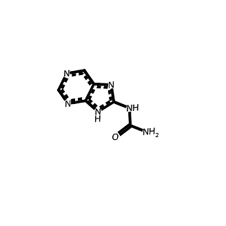 NC(=O)Nc1nc2cncnc2[nH]1